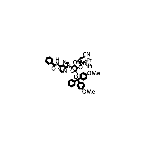 COc1ccc(C(OC[C@H]2O[C@@H](n3cnc4c(NC(=O)c5ccccc5)ncnc43)[C@H](OC)[C@@H]2OP(OCCC#N)N(C(C)C)C(C)C)(c2ccccc2)c2ccc(OC)cc2)cc1